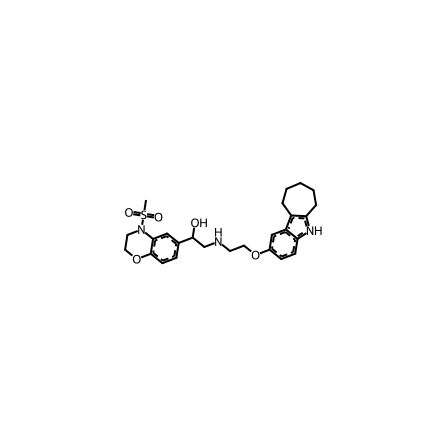 CS(=O)(=O)N1CCOc2ccc(C(O)CNCCOc3ccc4[nH]c5c(c4c3)CCCCC5)cc21